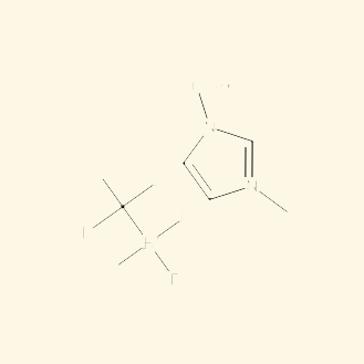 CCCCCCn1cc[n+](C)c1.F[B-](F)(F)C(F)(F)C(F)(F)F